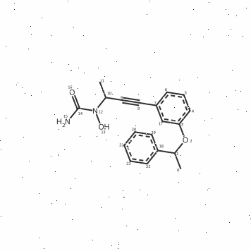 CC(Oc1cccc(C#CC(C)N(O)C(N)=O)c1)c1ccccc1